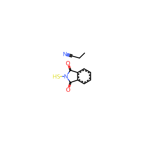 CCC#N.O=C1c2ccccc2C(=O)N1S